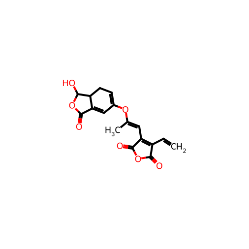 C=CC1=C(/C=C(\C)OC2=CCC3C(=C2)C(=O)OC3O)C(=O)OC1=O